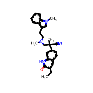 CCc1cc2ccc(C(C)(C#N)CN(C)CCc3cn(C)c4ccccc34)cc2[nH]c1=O